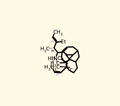 C/C=C\[C@@]1(C)CC2CCC3CC4=CCC(CC(C3)C2)C(C4)C(CC(N)[C@H](C)/C(=C/C)CC)C1(C)C